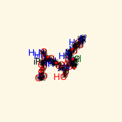 Cc1cccc2c(OC(=O)N(CCOCCO)CCN(C)C(=O)OCc3ccc(NC(=O)[C@H](CCCNC(N)=O)NC(=O)[C@@H](NC(=O)OCCOCCN4C(=O)C=CC4=O)C(C)C)cc3)cc3c(c12)[C@H](CCl)CN3C(=O)c1cc2cc(NC(=O)c3ccc(OC(=O)N4CCN(C)CC4)cc3)cnc2[nH]1